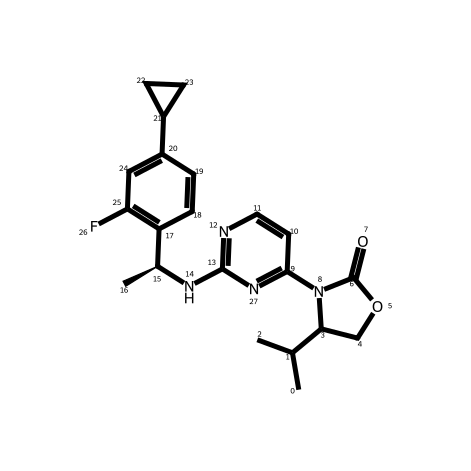 CC(C)C1COC(=O)N1c1ccnc(N[C@@H](C)c2ccc(C3CC3)cc2F)n1